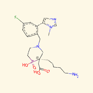 Cn1cncc1-c1cc(F)ccc1CN1CCP(=O)(O)[C@](CCCCN)(C(=O)O)C1